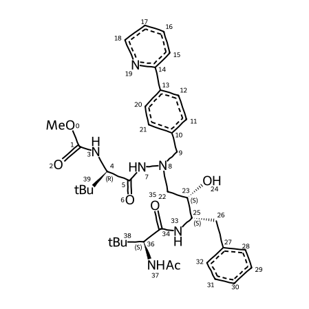 COC(=O)N[C@@H](C(=O)NN(Cc1ccc(-c2ccccn2)cc1)C[C@H](O)[C@H](Cc1ccccc1)NC(=O)[C@@H](NC(C)=O)C(C)(C)C)C(C)(C)C